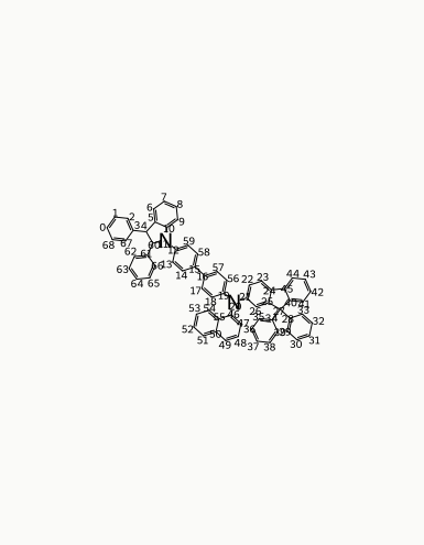 c1ccc(C2c3ccccc3N(c3ccc(-c4ccc(N(c5ccc6c(c5)C(c5ccccc5)(c5ccccc5)c5ccccc5-6)c5cccc6ccccc56)cc4)cc3)C2c2ccccc2)cc1